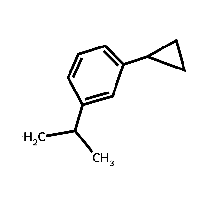 [CH2]C(C)c1cccc(C2CC2)c1